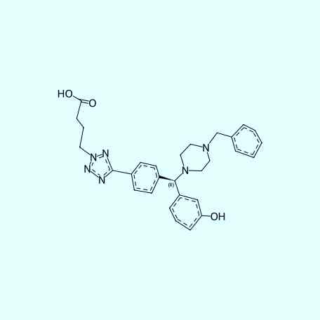 O=C(O)CCCn1nnc(-c2ccc([C@H](c3cccc(O)c3)N3CCN(Cc4ccccc4)CC3)cc2)n1